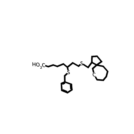 O=C(O)CCCCC(CCSCC1CCCC12CCCCCCC2)SCc1ccccc1